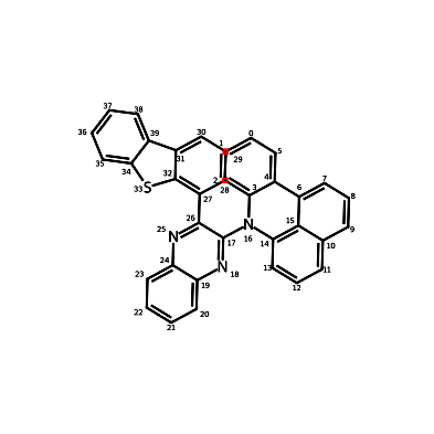 c1ccc2c(c1)-c1cccc3cccc(c13)N2c1nc2ccccc2nc1-c1cccc2c1sc1ccccc12